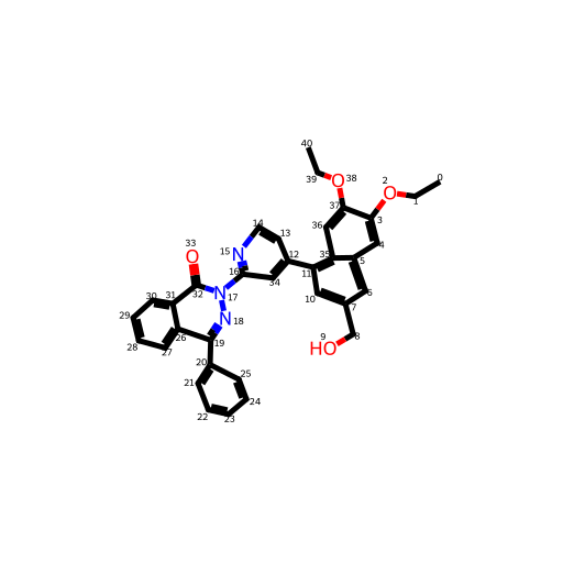 CCOc1cc2cc(CO)cc(-c3ccnc(-n4nc(-c5ccccc5)c5ccccc5c4=O)c3)c2cc1OCC